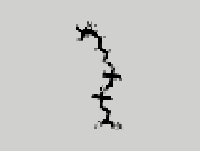 CC(C)(CCC(=O)C(C)(C)C)OCC(C)(C)SSCCCC1=NC1(C)C